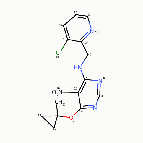 CC1(Oc2ncnc(NCc3ncccc3Cl)c2[N+](=O)[O-])CC1